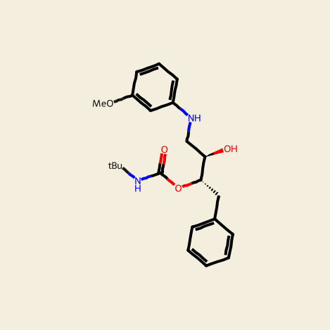 COc1cccc(NC[C@@H](O)[C@H](Cc2ccccc2)OC(=O)NC(C)(C)C)c1